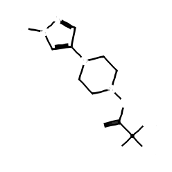 Cn1cc(N2CCN(OC(=O)C(C)(C)C)CC2)cn1